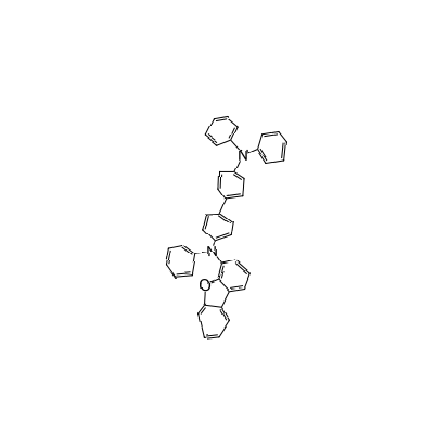 c1ccc(N(c2ccccc2)c2ccc(-c3ccc(N(c4ccccc4)c4cccc5c4oc4ccccc45)cc3)cc2)cc1